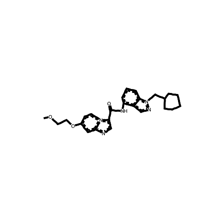 COCCOc1ccn2c(C(=O)Nc3cccc4c3cnn4CC3CCCCC3)cnc2c1